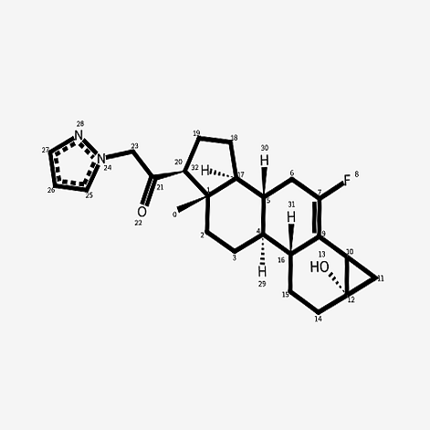 C[C@]12CC[C@H]3[C@@H](CC(F)=C4C5C[C@@]5(O)CC[C@@H]43)[C@@H]1CC[C@@H]2C(=O)Cn1cccn1